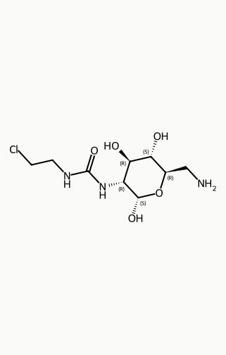 NC[C@H]1O[C@H](O)[C@H](NC(=O)NCCCl)[C@@H](O)[C@@H]1O